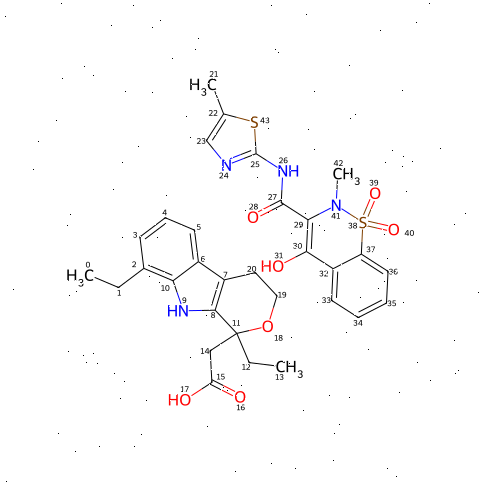 CCc1cccc2c3c([nH]c12)C(CC)(CC(=O)O)OCC3.Cc1cnc(NC(=O)C2=C(O)c3ccccc3S(=O)(=O)N2C)s1